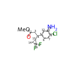 COC(=O)CC(c1ccc(Cl)c(N)c1)C1CC1(F)F